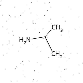 [CH2]C(C)N